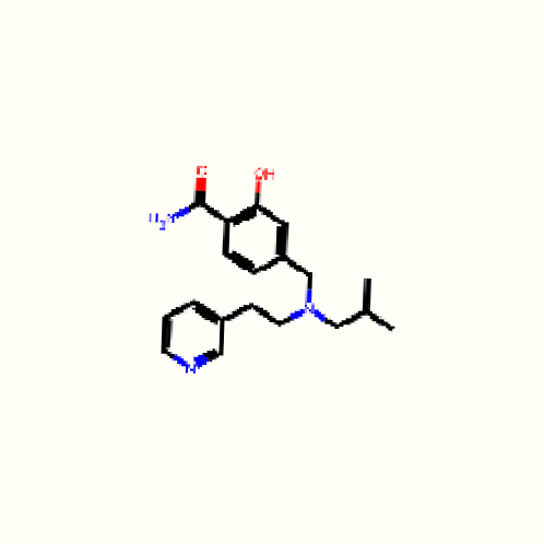 CC(C)CN(CCc1cccnc1)Cc1ccc(C(N)=O)c(O)c1